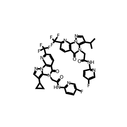 CC(C)c1cnn2c3nc(C(F)(F)F)ccc3c(=O)n(CC(=O)Nc3ccc(F)cn3)c12.O=C(Cn1c(=O)c2ccc(C(F)(F)F)nc2n2ncc(C3CC3)c12)Nc1ccc(F)cn1